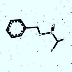 O=S(OCc1ccccc1)C(F)F